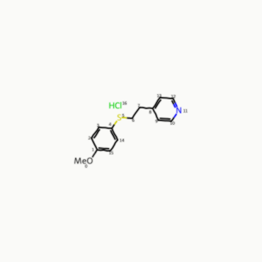 COc1ccc(SCCc2ccncc2)cc1.Cl